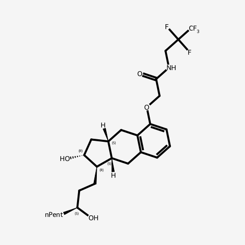 CCCCC[C@H](O)CC[C@@H]1[C@H]2Cc3cccc(OCC(=O)NCC(F)(F)C(F)(F)F)c3C[C@H]2C[C@H]1O